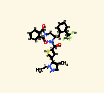 CCn1ncc(C)c1-c1csc(C(=O)N[C@@H](Cc2ccccc2C(F)(F)F)CN2C(=O)c3ccccc3C2=O)c1